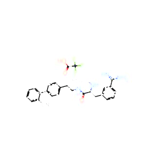 CCOC(=O)N[C@@H](Cc1cccc(C(=N)N)c1)C(=O)NCCc1ccc(-c2ccccc2C#N)cc1.O=C(O)C(F)(F)F